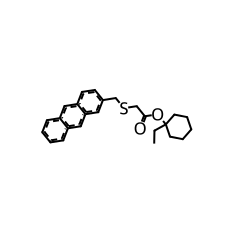 CCC1(OC(=O)CSCc2ccc3cc4ccccc4cc3c2)CCCCC1